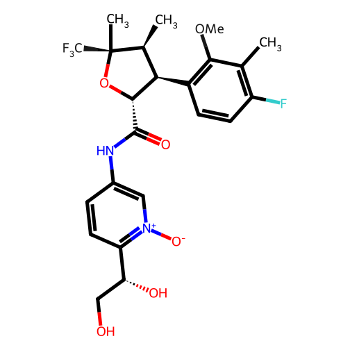 COc1c([C@H]2[C@H](C(=O)Nc3ccc([C@H](O)CO)[n+]([O-])c3)O[C@@](C)(C(F)(F)F)[C@H]2C)ccc(F)c1C